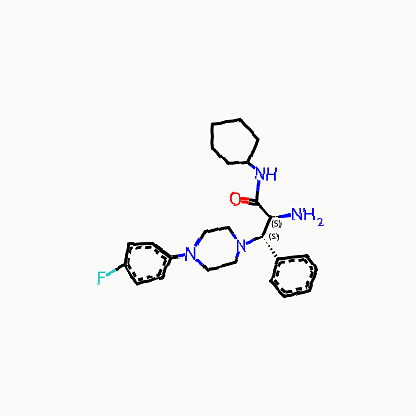 N[C@H](C(=O)NC1CCCCC1)[C@H](c1ccccc1)N1CCN(c2ccc(F)cc2)CC1